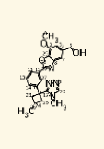 COc1cc(CO)cc2nc(-c3cccc([C@]4(c5nncn5C)C[C@@H](C)C4)c3)oc12